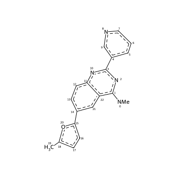 CNc1nc(-c2cccnc2)nc2ccc(-c3ccc(C)o3)cc12